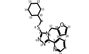 c1ccc(-c2nnc(SCC3CCCCC3)n2Cc2ccco2)nc1